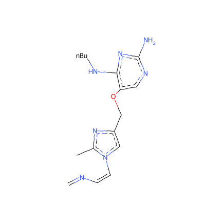 C=N/C=C\n1cc(COc2cnc(N)nc2NCCCC)nc1C